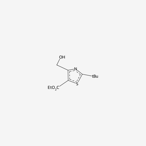 CCOC(=O)c1sc(C(C)(C)C)nc1CO